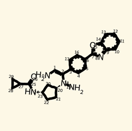 N/C=C(/c1ccc(-c2nc3ccccc3o2)cc1)N(N)[C@@H]1CC[C@H](NC(=O)C2CC2)C1